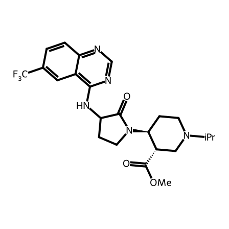 COC(=O)[C@H]1CN(C(C)C)CC[C@@H]1N1CCC(Nc2ncnc3ccc(C(F)(F)F)cc23)C1=O